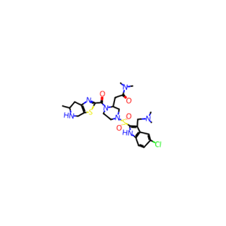 CC1Cc2nc(C(=O)N3CCN(S(=O)(=O)c4[nH]c5ccc(Cl)cc5c4CN(C)C)CC3CC(=O)N(C)C)sc2CN1